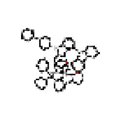 c1ccc(-c2ccc(-n3c4ccc(-n5c6ccccc6c6cccc([Si](c7ccccc7)(c7ccccc7)c7ccccc7)c65)cc4c4c(-n5c6ccccc6c6ccccc65)cccc43)cc2)cc1